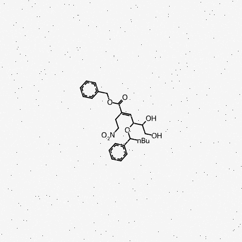 CCCCC(OC(C=C(CC[N+](=O)[O-])C(=O)OCc1ccccc1)C(O)CO)c1ccccc1